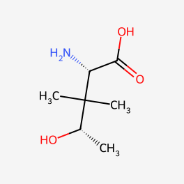 C[C@H](O)C(C)(C)[C@H](N)C(=O)O